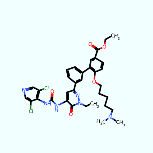 CCOC(=O)c1ccc(OCCCCCN(C)C)c(-c2cccc(-c3cc(NC(=O)Nc4c(Cl)cncc4Cl)c(=O)n(CC)n3)c2)c1